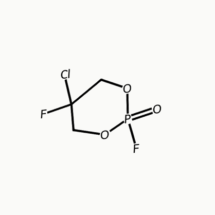 O=P1(F)OCC(F)(Cl)CO1